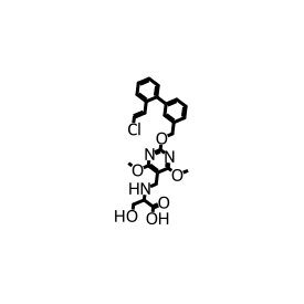 COc1nc(OCc2cccc(-c3ccccc3C=CCl)c2)nc(OC)c1CNC(CO)C(=O)O